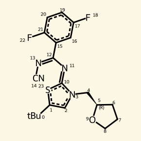 CC(C)(C)c1cn(C[C@H]2CCCO2)c(=NC(=NC#N)c2cc(F)ccc2F)s1